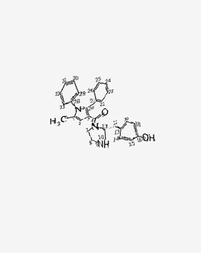 Cc1cc(C(=O)N2CCNC[C@H]2Cc2ccc(O)cc2)c(-c2ccccc2)n1-c1ccccc1